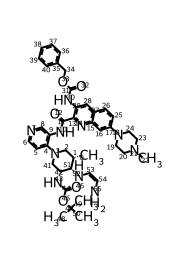 C[C@H]1CN(c2ccncc2NC(=O)c2nc3cc(N4CCN(C)CC4)ccc3cc2NC(=O)OCc2ccccc2)C[C@@H](NC(=O)OC(C)(C)C)[C@H]1N/C=C\N